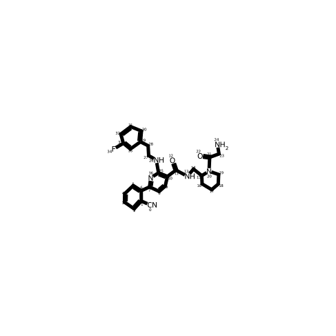 N#Cc1ccccc1-c1ccc(C(=O)NCC2CCCCN2C(=O)CN)c(NCCc2cccc(F)c2)n1